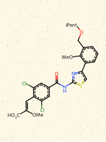 CCCC(C)OCc1cccc(-c2csc(NC(=O)c3cc(Cl)c(/C=C(\OC)C(=O)O)c(Cl)c3)n2)c1OC